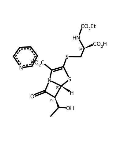 CCOC(=O)N[C@H](CSC1=C(C(=O)O)N2C(=O)[C@H](C(C)O)[C@H]2S1)C(=O)O.c1ccncc1